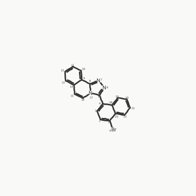 Brc1ccc(-c2nnc3c4ccccc4ccn23)c2ccccc12